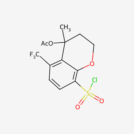 CC(=O)OC1(C)CCOc2c(S(=O)(=O)Cl)ccc(C(F)(F)F)c21